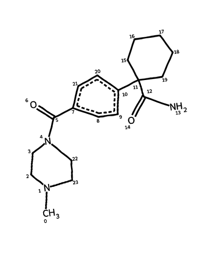 CN1CCN(C(=O)c2ccc(C3(C(N)=O)CCCCC3)cc2)CC1